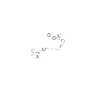 CCc1cnn2c(NCc3ccc(CCOCCOCCN(C)C/C=C/C(=O)N4CCC[C@@H](n5nc(-c6ccc(Oc7ccccc7)cc6)c6c(N)ncnc65)C4)nc3)cc(N3CCCC[C@H]3CCO)nc12